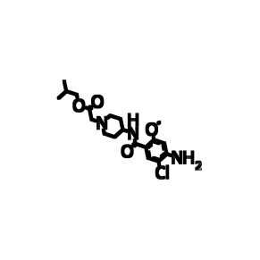 COc1cc(N)c(Cl)cc1C(=O)NC1CCN(CC(=O)OCC(C)C)CC1